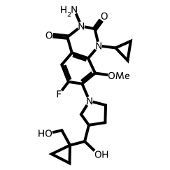 COc1c(N2CCC(C(O)C3(CO)CC3)C2)c(F)cc2c(=O)n(N)c(=O)n(C3CC3)c12